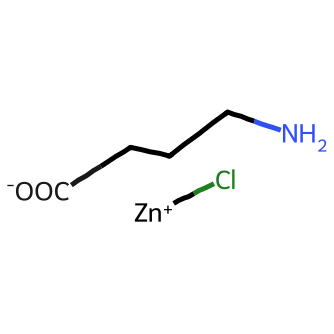 NCCCC(=O)[O-].[Cl][Zn+]